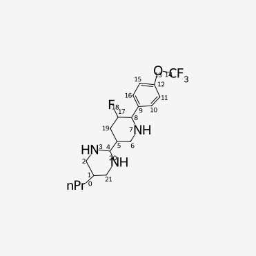 CCCC1CNC(C2CNC(c3ccc(OC(F)(F)F)cc3)C(F)C2)NC1